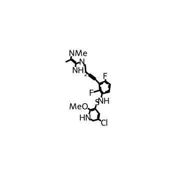 CN/C(C)=C(N)\N=C/CC#Cc1c(F)ccc(NSC2=C(OC)NCC(Cl)=C2)c1F